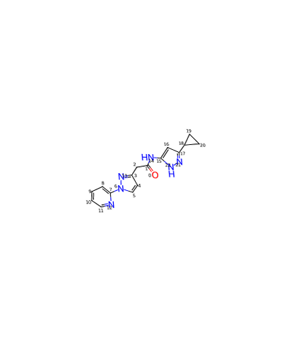 O=C(Cc1ccn(-c2ccccn2)n1)Nc1cc(C2CC2)n[nH]1